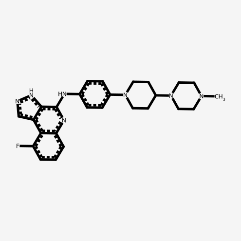 CN1CCN(C2CCN(c3ccc(Nc4nc5cccc(F)c5c5cn[nH]c45)cc3)CC2)CC1